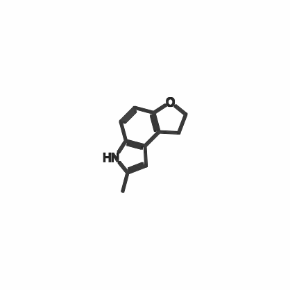 Cc1cc2c3c(ccc2[nH]1)OCC3